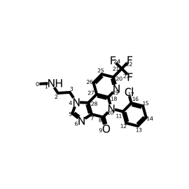 CNCCn1cnc2c(=O)n(-c3ccccc3Cl)c3nc(C(F)(F)F)ccc3c21